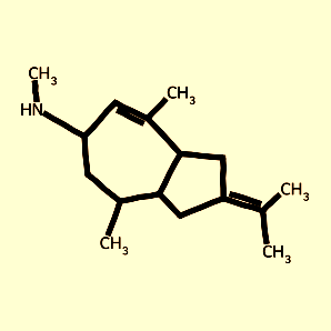 CNC1C=C(C)C2CC(=C(C)C)CC2C(C)C1